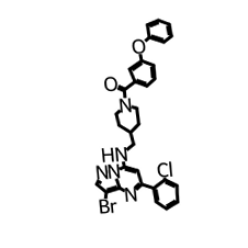 O=C(c1cccc(Oc2ccccc2)c1)N1CCC(CNc2cc(-c3ccccc3Cl)nc3c(Br)cnn23)CC1